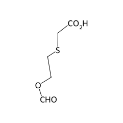 O=COCCSCC(=O)O